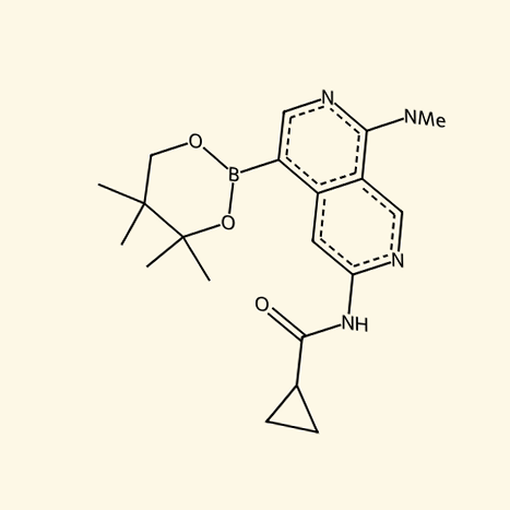 CNc1ncc(B2OCC(C)(C)C(C)(C)O2)c2cc(NC(=O)C3CC3)ncc12